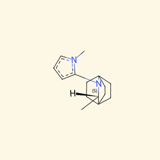 C[C@@H]1N(c2cccn2C)C23CCC1(CC2)CC3